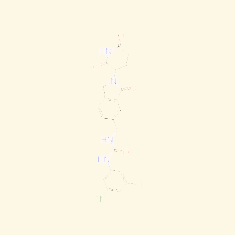 O=C1CCC(N2Cc3ccc(CNC(=O)Nc4cc(Cl)cc(Cl)c4)cc3C2=O)C(=O)N1